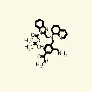 COC(=O)c1ccc(CN(Cc2nc3ccccc3n2C(=O)OC(C)(C)C)C2CCCc3cccnc32)c(CN)c1